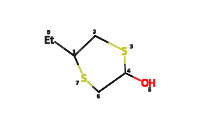 CCC1CSC(O)CS1